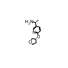 C[C@H](N)c1ccc(O[C@@H]2CCOC2)nc1